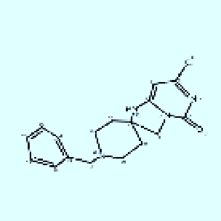 O=c1nc(Cl)cc2n1CC1(CCN(Cc3ccccc3)CC1)N2